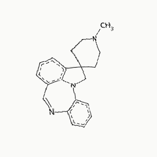 CN1CCC2(CC1)CN1c3ccccc3N=Cc3cccc2c31